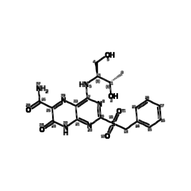 C[C@H](O)[C@H](CO)Nc1nc(S(=O)(=O)Cc2ccccc2)nc2[nH]c(=O)c(C(N)=O)nc12